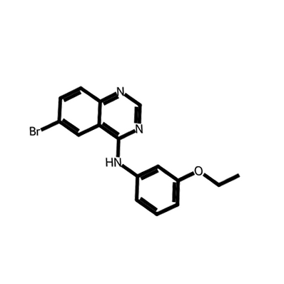 CCOc1cccc(Nc2ncnc3ccc(Br)cc23)c1